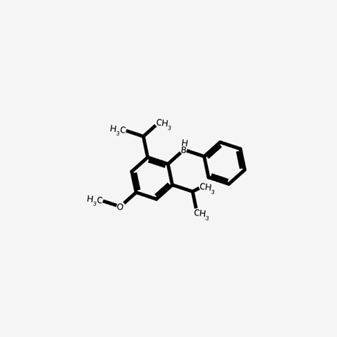 COc1cc(C(C)C)c(Bc2ccccc2)c(C(C)C)c1